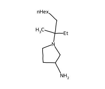 CCCCCCCC(C)(CC)N1CCC(N)C1